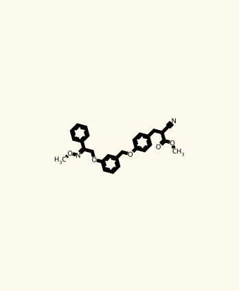 CON=C(COc1cccc(COc2ccc(CC(C#N)C(=O)OC)cc2)c1)c1ccccc1